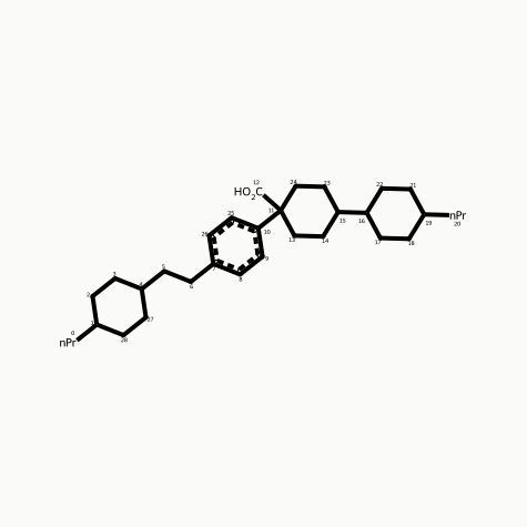 CCCC1CCC(CCc2ccc(C3(C(=O)O)CCC(C4CCC(CCC)CC4)CC3)cc2)CC1